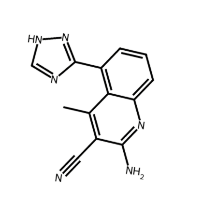 Cc1c(C#N)c(N)nc2cccc(-c3nc[nH]n3)c12